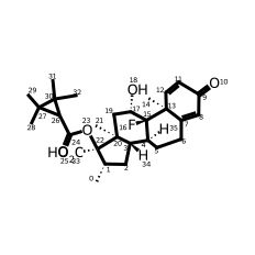 C[C@H]1C[C@H]2[C@@H]3CCC4=CC(=O)C=C[C@]4(C)[C@@]3(F)[C@@H](O)C[C@]2(C)[C@@]1(OC(=O)C1C(C)(C)C1(C)C)C(=O)O